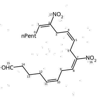 CCCCC/C=C(\C/C=C\C/C(=C\C/C=C\CCC[C]=O)[N+](=O)[O-])[N+](=O)[O-]